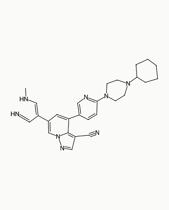 CN/C=C(\C=N)c1cc(-c2ccc(N3CCN(C4CCCCC4)CC3)nc2)c2c(C#N)cnn2c1